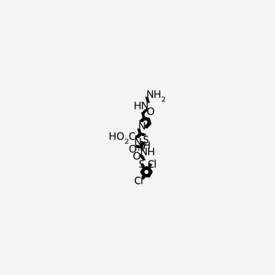 NCCNC(=O)Cc1ccc[n+](CC2=C(C(=O)O)N3C(=O)[C@H](NC(=O)CSc4cc(Cl)ccc4Cl)[C@H]3SC2)c1